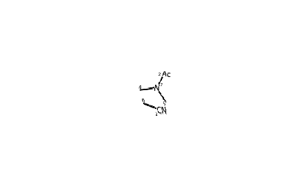 CC#N.CC(=O)N(C)C